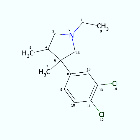 CCN1CC(C)C(C)(c2ccc(Cl)c(Cl)c2)C1